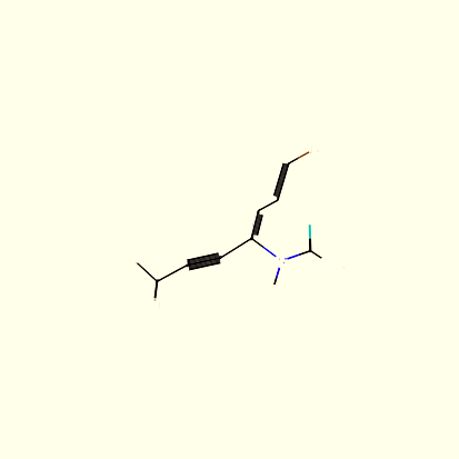 CC(C)C#C/C(=C/C=C/Br)N(C)C(C)F